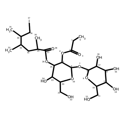 CCC(=O)OC1C(OC2OC(CO)C(O)C(O)C2O)OC(CO)C(O)C1OC(=O)C(C)CC(C)C(C)CI